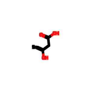 O=C(O)CC(O)=[Se]